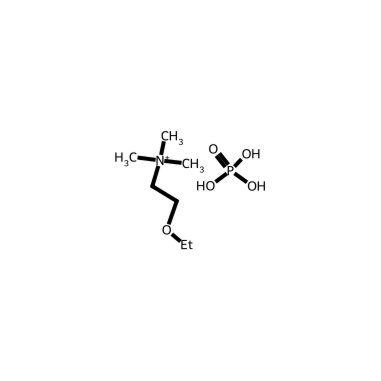 CCOCC[N+](C)(C)C.O=P(O)(O)O